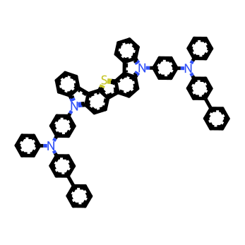 c1ccc(-c2ccc(N(c3ccccc3)c3ccc(-n4c5ccccc5c5c6sc7c(ccc8c7c7ccccc7n8-c7ccc(N(c8ccccc8)c8ccc(-c9ccccc9)cc8)cc7)c6ccc54)cc3)cc2)cc1